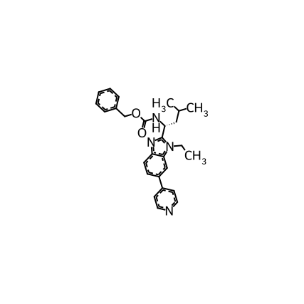 CCn1c([C@@H](CC(C)C)NC(=O)OCc2ccccc2)nc2ccc(-c3ccncc3)cc21